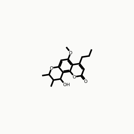 CCCc1cc(=O)oc2c3c(cc(OC)c12)OC(C)C(C)C3O